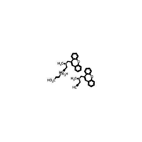 C#CCN(C)CC1=Cc2ccccc2Oc2ccccc21.C#CCN(C)CC1=Cc2ccccc2Oc2ccccc21.O=C(O)C=CC(=O)O